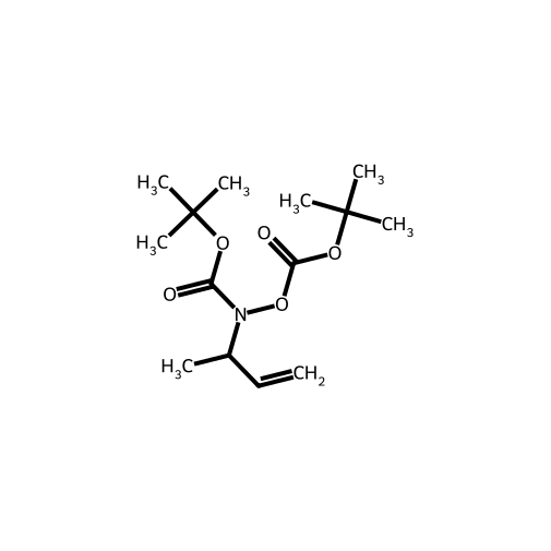 C=CC(C)N(OC(=O)OC(C)(C)C)C(=O)OC(C)(C)C